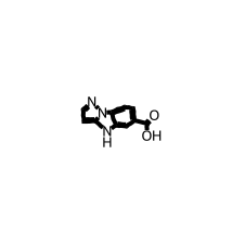 O=C(O)c1ccc2c(c1)[nH]c1ccnn12